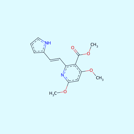 COC(=O)c1c(OC)cc(OC)nc1/C=C/c1ccc[nH]1